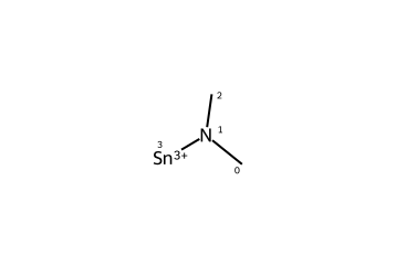 C[N](C)[Sn+3]